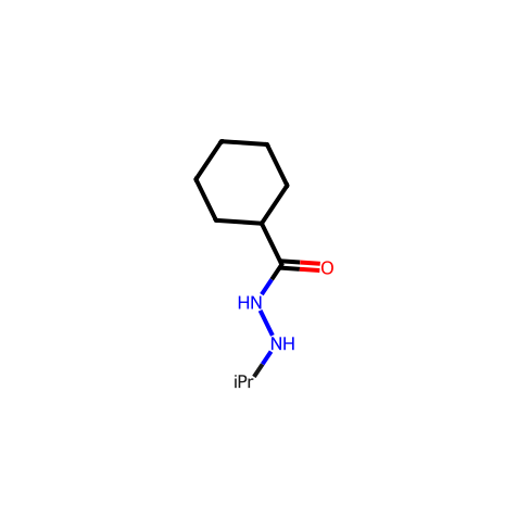 CC(C)NNC(=O)C1CCCCC1